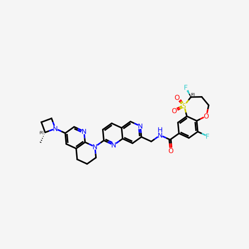 C[C@@H]1CCN1c1cnc2c(c1)CCCN2c1ccc2cnc(CNC(=O)c3cc(F)c4c(c3)S(=O)(=O)[C@@H](F)CCO4)cc2n1